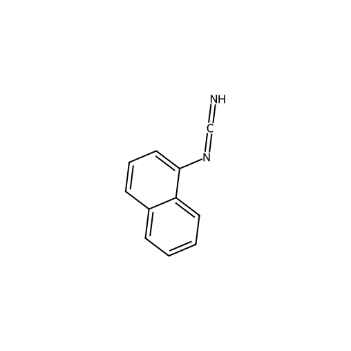 N=C=Nc1cccc2ccccc12